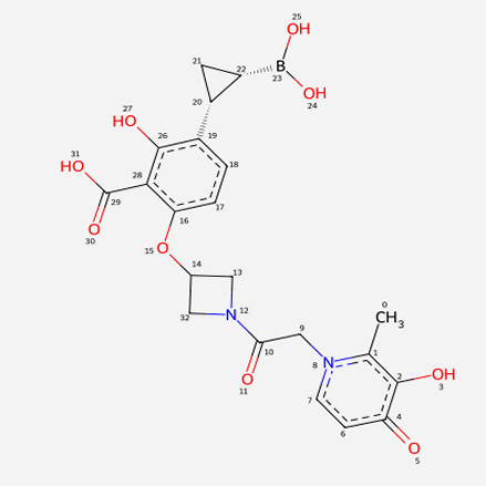 Cc1c(O)c(=O)ccn1CC(=O)N1CC(Oc2ccc([C@@H]3C[C@@H]3B(O)O)c(O)c2C(=O)O)C1